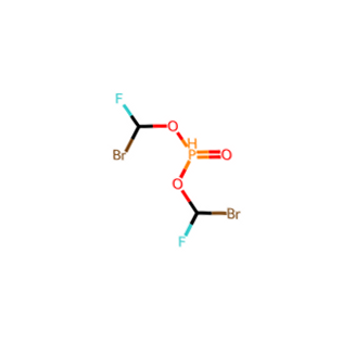 O=[PH](OC(F)Br)OC(F)Br